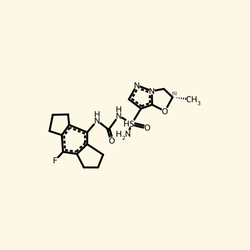 C[C@H]1Cn2ncc([SH](N)(=O)NC(=O)Nc3c4c(c(F)c5c3CCC5)CCC4)c2O1